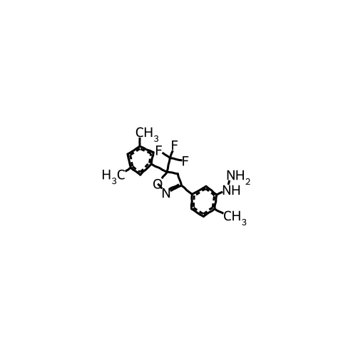 Cc1cc(C)cc(C2(C(F)(F)F)CC(c3ccc(C)c(NN)c3)=NO2)c1